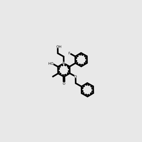 Cc1c(O)n(CCO)c(-c2ccccc2F)c(OCc2ccccc2)c1=O